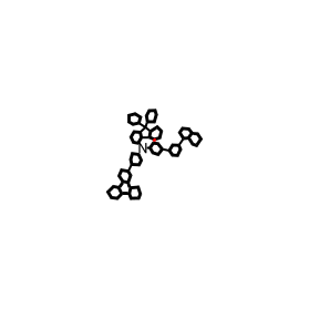 c1ccc(C2(c3ccccc3)c3ccccc3-c3c(N(c4ccc(-c5cccc(-c6cccc7ccccc67)c5)cc4)c4ccc(-c5ccc6c7ccccc7c7ccccc7c6c5)cc4)cccc32)cc1